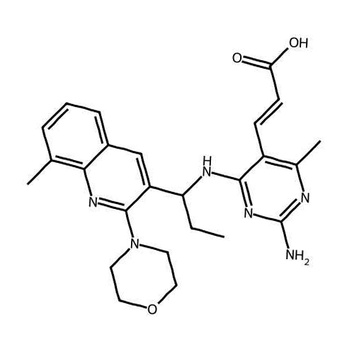 CCC(Nc1nc(N)nc(C)c1/C=C/C(=O)O)c1cc2cccc(C)c2nc1N1CCOCC1